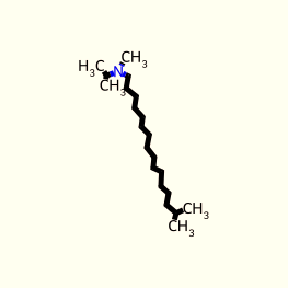 CC(C)CCCCCCCCCCCCCCN(C)C(C)C